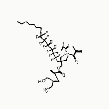 C=C(C)C(=O)OCC(COC(=O)C(=C)C)(COC(=O)C(=C)CC(CO)CO)CC(F)(F)C(F)(F)C(F)(F)C(F)(F)C(F)(F)C(F)(F)CCCCCCC